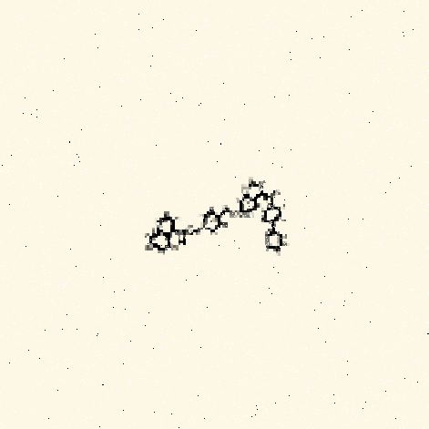 CN(c1ccc(-c2ccccc2)cc1)c1ncnc2cc(OCC3CCN(CCNc4ccnc5ccccc45)CC3)ccc12